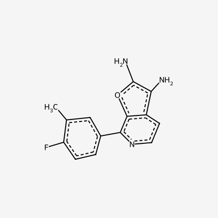 Cc1cc(-c2nccc3c(N)c(N)oc23)ccc1F